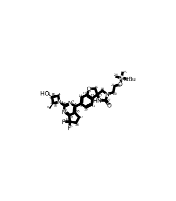 C[C@H]1[C@H](O)CN1c1nc(-c2ccc3c(c2)OCC32CN(CCO[Si](C)(C)C(C)(C)C)C(=O)N2)c2c(n1)C(F)(F)CC2